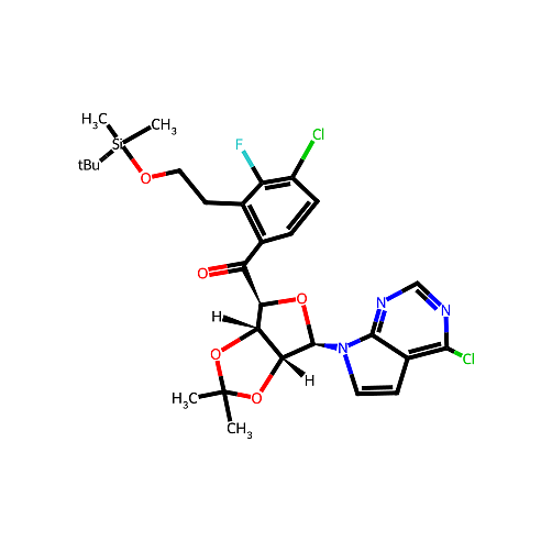 CC1(C)O[C@@H]2[C@H](O1)[C@@H](C(=O)c1ccc(Cl)c(F)c1CCO[Si](C)(C)C(C)(C)C)O[C@H]2n1ccc2c(Cl)ncnc21